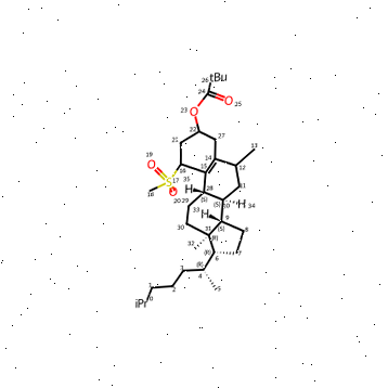 CC(C)CCC[C@@H](C)[C@H]1CC[C@H]2[C@@H]3CC(C)C4=C(C(S(C)(=O)=O)CC(OC(=O)C(C)(C)C)C4)[C@H]3CC[C@]12C